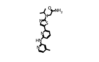 Cc1ccnc(Nc2cccc(-c3cnc(N(CC(N)=O)C(C)C)s3)n2)c1